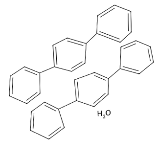 O.c1ccc(-c2ccc(-c3ccccc3)cc2)cc1.c1ccc(-c2ccc(-c3ccccc3)cc2)cc1